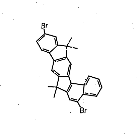 CC1(C)c2cc(Br)ccc2-c2cc3c(cc21)-c1c(cc(Br)c2ccccc12)C3(C)C